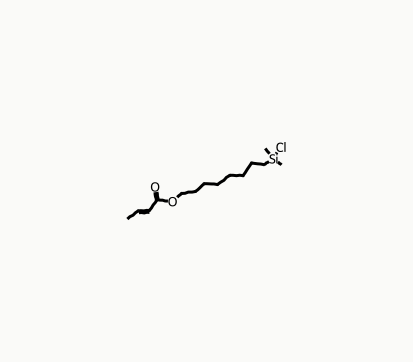 CC=CC(=O)OCCCCCCCC[Si](C)(C)Cl